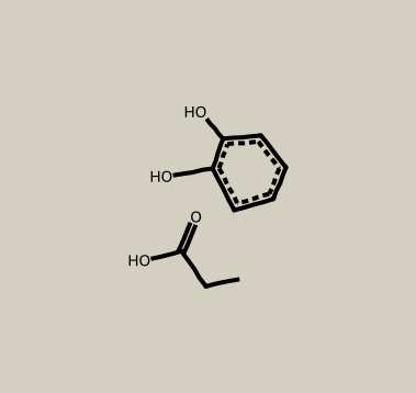 CCC(=O)O.Oc1ccccc1O